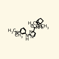 CN(C)c1cccc(Nc2nccc(C(=O)NC3CC4CCC3(C)C4(C)C)n2)c1